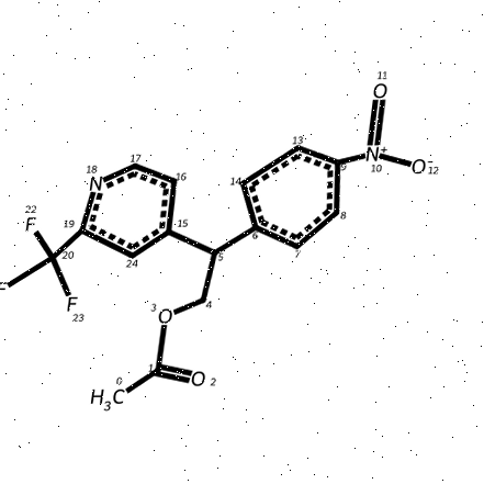 CC(=O)OCC(c1ccc([N+](=O)[O-])cc1)c1ccnc(C(F)(F)F)c1